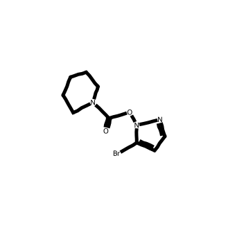 O=C(On1nccc1Br)N1CCCCC1